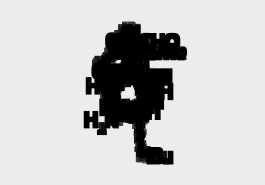 CC[C@H](C)C[C@H](C)CCCCCCCCC(=O)N[C@H]1C[C@@H](O)[C@@H](OCCN)NC(=O)[C@@H]2[C@@H](O)CCN2C(=O)[C@H]([C@H](O)CCNC(=O)[C@@H](C)CCCCNC(=O)[C@H](Cc2ccccc2)NC(=O)[C@H](CC(C)C)NC(=O)[C@H](CCSC)NC=O)NC(=O)[C@H]([C@H](O)[C@@H](O)c2ccc(O)cc2)NC(=O)[C@@H]2C[C@@H](O)CN2C(=O)[C@H]([C@@H](C)O)NC1=O